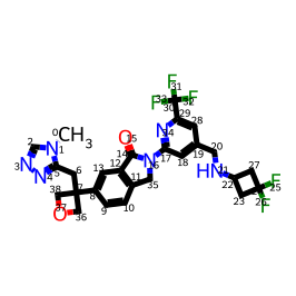 Cn1cnnc1CC1(c2ccc3c(c2)C(=O)N(c2cc(CNC4CC(F)(F)C4)cc(C(F)(F)F)n2)C3)COC1